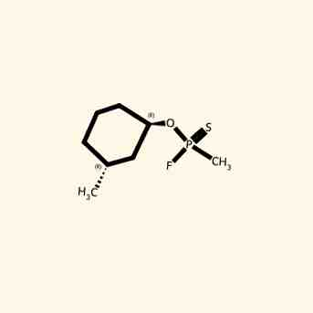 C[C@@H]1CCC[C@@H](OP(C)(F)=S)C1